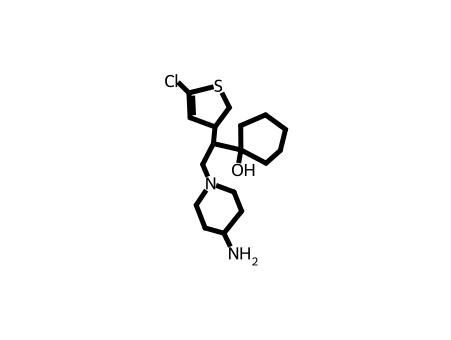 NC1CCN(CC(C2C=C(Cl)SC2)C2(O)CCCCC2)CC1